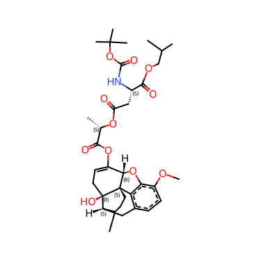 COc1ccc2c3c1O[C@H]1C(OC(=O)[C@H](C)OC(=O)C[C@H](NC(=O)OC(C)(C)C)C(=O)OCC(C)C)=CC[C@@]4(O)[C@@H](C2)C(C)CC[C@]314